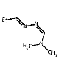 CC/C=N/N=C\N(C)C